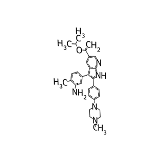 C=C(OC(C)C)c1cnc2[nH]c(-c3ccc(N4CCN(C)CC4)cc3)c(-c3ccc(C)c(N)c3)c2c1